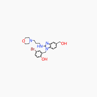 OCc1ccc2c(c1)nc(NCCCN1CCOCC1)n2Cc1cc(Br)ccc1O